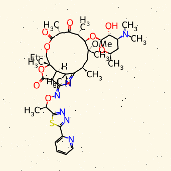 CC[C@@H]1OC(=O)[C@H](C)C(=O)[C@H](C)[C@@H](O[C@@H]2O[C@H](C)C[C@H](N(C)C)[C@H]2O)[C@](C)(OC)C[C@@H](C)C2=N/C(=N/O[C@H](C)c3nnc(-c4ccccn4)s3)[C@@H]3C(=O)O[C@@]1(C)[C@H]3[C@H]2C